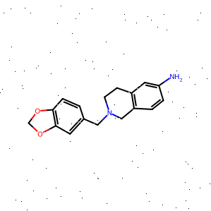 Nc1ccc2c(c1)CCN(Cc1ccc3c(c1)OCO3)C2